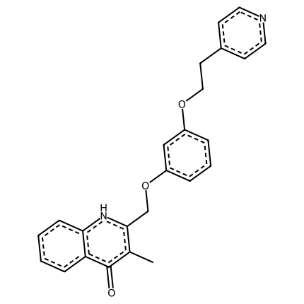 Cc1c(COc2cccc(OCCc3ccncc3)c2)[nH]c2ccccc2c1=O